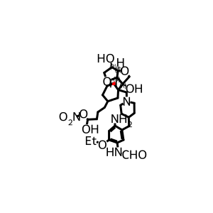 CCOc1cc(N)c(CC2CCN(CC3([C@@]4(O)CO[C@@H]5[C@H](O)CO[C@@H]54)CCCC(CCCC(O)O[N+](=O)[O-])C3)CC2)cc1NC=O